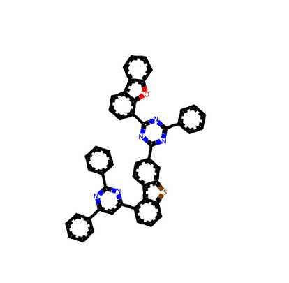 c1ccc(-c2cc(-c3cccc4sc5cc(-c6nc(-c7ccccc7)nc(-c7cccc8c7oc7ccccc78)n6)ccc5c34)nc(-c3ccccc3)n2)cc1